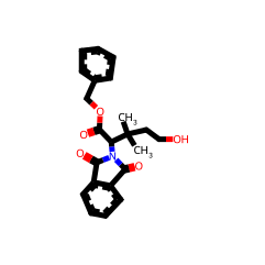 CC(C)(CCO)C(C(=O)OCc1ccccc1)N1C(=O)c2ccccc2C1=O